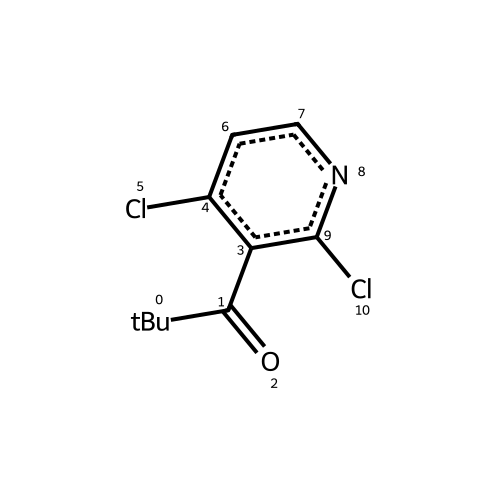 CC(C)(C)C(=O)c1c(Cl)ccnc1Cl